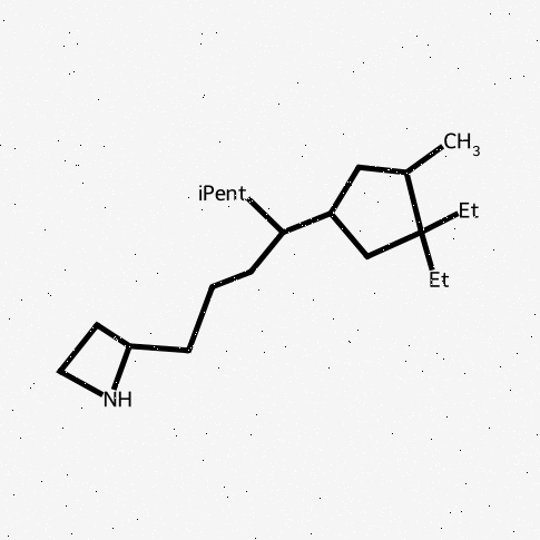 CCCC(C)C(CCCC1CCN1)C1CC(C)C(CC)(CC)C1